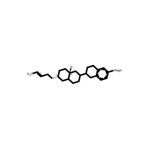 C/C=C/CC[C@@H]1CC[C@@H]2CC(C3CCc4cc(CCCCCCC)ccc4C3)CCC2C1